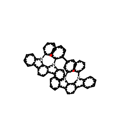 c1ccc(-n2c3ccccc3c3ccc4c5ccccc5n(-c5cccc(-c6ccccc6-n6c7ccccc7c7ccc8c9ccccc9n(-c9ccccc9)c8c76)c5)c4c32)cc1